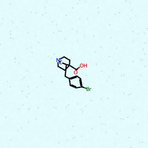 O=C(O)C12CCN(CC1)CC2Cc1ccc(Br)cc1